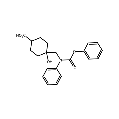 O=C(O)C1CCC(O)(CN(C(=O)Oc2ccccc2)c2ccccc2)CC1